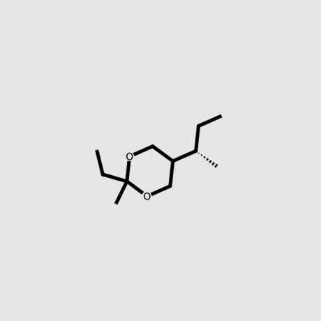 CC[C@H](C)C1COC(C)(CC)OC1